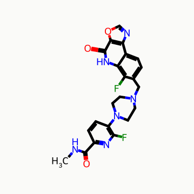 CNC(=O)c1ccc(N2CCN(Cc3ccc4c([nH]c(=O)c5ocnc54)c3F)CC2)c(F)n1